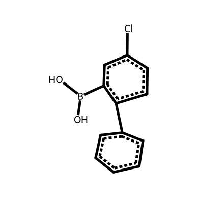 OB(O)c1cc(Cl)ccc1-c1ccccc1